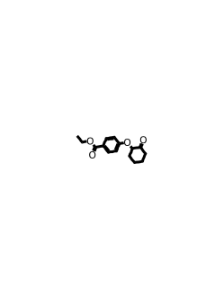 CCOC(=O)c1ccc(OC2CCCCC2=O)cc1